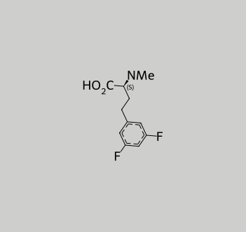 CN[C@@H](CCc1cc(F)cc(F)c1)C(=O)O